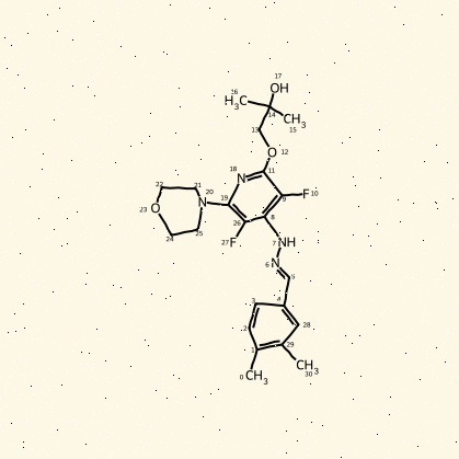 Cc1ccc(/C=N/Nc2c(F)c(OCC(C)(C)O)nc(N3CCOCC3)c2F)cc1C